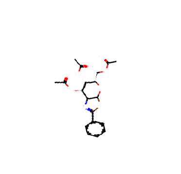 CC(=O)OC[C@H]1OC2SC(c3ccccc3)=NC2[C@@H](OC(C)=O)[C@@H]1OC(C)=O